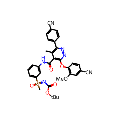 COc1cc(C#N)ccc1Oc1nnc(-c2ccc(C#N)cc2)c(C)c1C(=O)Nc1cccc(S(C)(=O)=NC(=O)OC(C)(C)C)c1